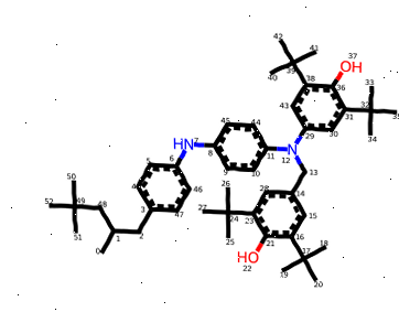 CC(Cc1ccc(Nc2ccc(N(Cc3cc(C(C)(C)C)c(O)c(C(C)(C)C)c3)c3cc(C(C)(C)C)c(O)c(C(C)(C)C)c3)cc2)cc1)CC(C)(C)C